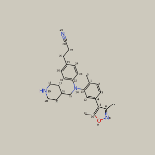 Cc1ccc(-c2c(C)noc2C)cc1N(CC1CCNCC1)c1ccc(CCC#N)cc1